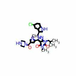 CC(C)Cn1c(=O)n(C)c(=O)c2c(-c3cc(C(=O)N4CCNCC4)cn3C)n(Cc3c[nH]c4ccc(Cl)cc34)nc21